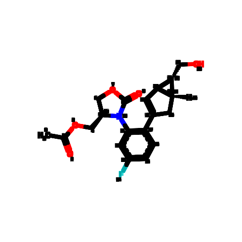 CC(=O)OC[C@H]1COC(=O)N1c1cc(F)ccc1C1=CC2[C@H](CO)[C@H]2C1